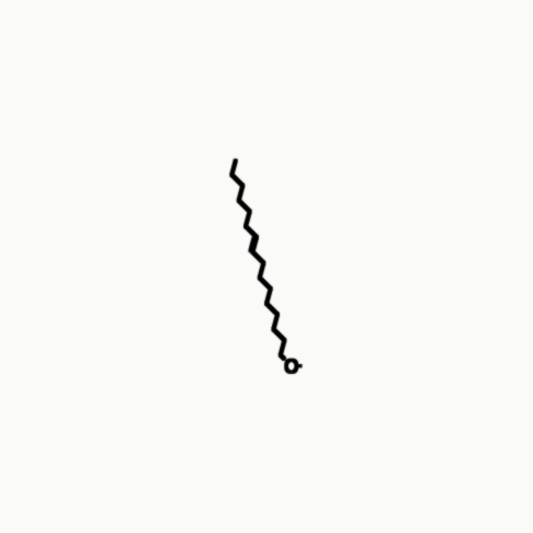 CCCCCC/C=C/CCCCCCCC[O]